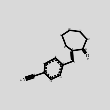 N#Cc1ccc(C=C2CCCCCC2=O)cc1